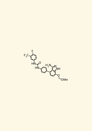 COCOc1ccc(-c2ccc(NC(=O)Nc3ccc(F)c(C(F)(F)F)c3)cc2)c2c(N)n[nH]c12